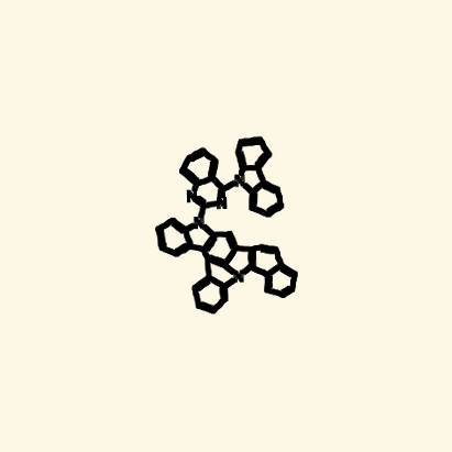 c1ccc2c(c1)ccc1c3cc4c(c5ccccc5n4-c4nc(-n5c6ccccc6c6ccccc65)c5ccccc5n4)c4c5ccccc5n(c21)c34